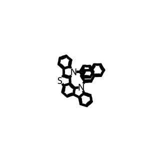 c1ccc(-n2c3ccccc3c3sc4ccc5c6ccccc6n(-c6ccc7ccccc7c6)c5c4c32)cc1